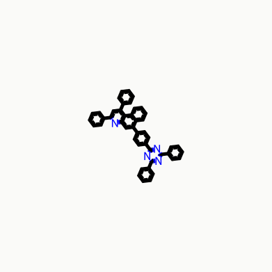 c1ccc(-c2cc(-c3ccccc3)c3c(cc(-c4ccc(-c5nc(-c6ccccc6)nc(-c6ccccc6)n5)cc4)c4ccccc43)n2)cc1